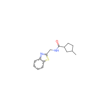 CC1CCC(C(=O)NCc2nc3ccccc3s2)C1